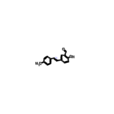 Cc1ccc(/C=C/c2ccc(O)c(C=O)c2)cc1